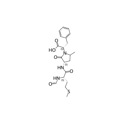 CSCC[C@H](NC=O)C(=O)N[C@H]1CC(C)N([C@@H](Cc2ccccc2)C(=O)O)C1=O